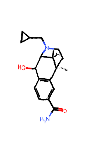 C[C@H]1C2C(O)c3ccc(C(N)=O)cc3[C@]1(C)CCN2CC1CC1